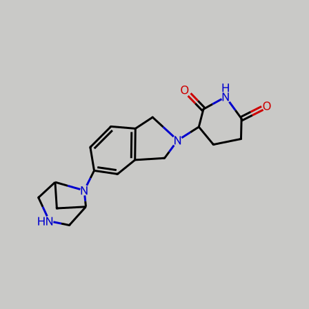 O=C1CCC(N2Cc3ccc(N4C5CNCC4C5)cc3C2)C(=O)N1